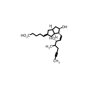 CC#CCC(C)[C@H](O)/C=C\[C@H]1[C@H]2C/C(=C/CCCC(=O)O)C[C@H]2C[C@H]1O